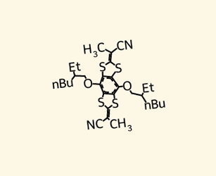 CCCCC(CC)COc1c2c(c(OCC(CC)CCCC)c3c1SC(=C(C)C#N)S3)SC(=C(C)C#N)S2